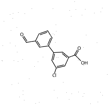 O=Cc1cccc(-c2cc(Cl)cc(C(=O)O)c2)c1